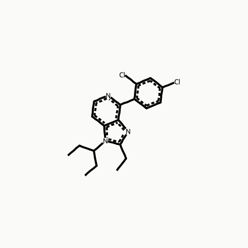 CCc1nc2c(-c3ccc(Cl)cc3Cl)nccc2n1C(CC)CC